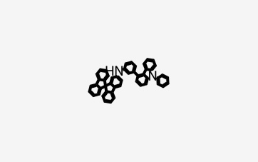 c1ccc(-n2c3ccccc3c3c(-c4cccc(Nc5ccc6c(c5)C5(c7ccccc7-c7ccccc75)c5ccccc5-6)c4)cccc32)cc1